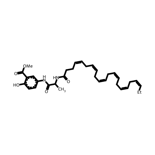 CC/C=C\C/C=C\C/C=C\C/C=C\C/C=C\C/C=C\CCC(=O)NC(C)C(=O)Nc1ccc(O)c(C(=O)OC)c1